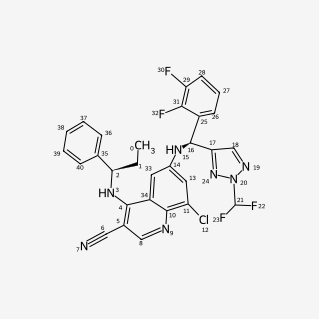 CC[C@@H](Nc1c(C#N)cnc2c(Cl)cc(N[C@H](c3cnn(C(F)F)n3)c3cccc(F)c3F)cc12)c1ccccc1